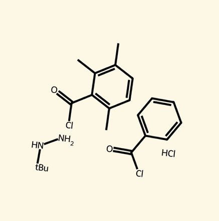 CC(C)(C)NN.Cc1ccc(C)c(C(=O)Cl)c1C.Cl.O=C(Cl)c1ccccc1